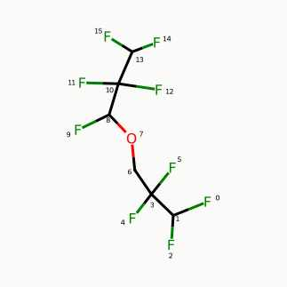 FC(F)C(F)(F)COC(F)C(F)(F)C(F)F